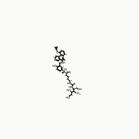 CC(C(O)CCO)[C@H](CO)NC(=O)NCCCCN(C(C)C)S(=O)(=O)c1ccc(O)c(CNC2(c3cnccc3-c3ccccc3OC3CC3)CC2)c1